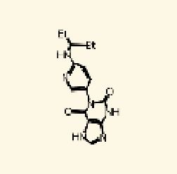 CCC(CC)Nc1ccc(-n2c(=O)[nH]c3nc[nH]c3c2=O)cn1